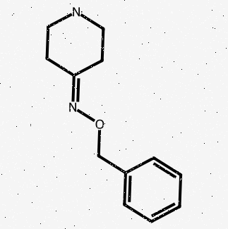 c1ccc(CON=C2CC[N]CC2)cc1